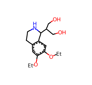 CCOc1cc2c(cc1OCC)C(C(CO)CO)NCC2